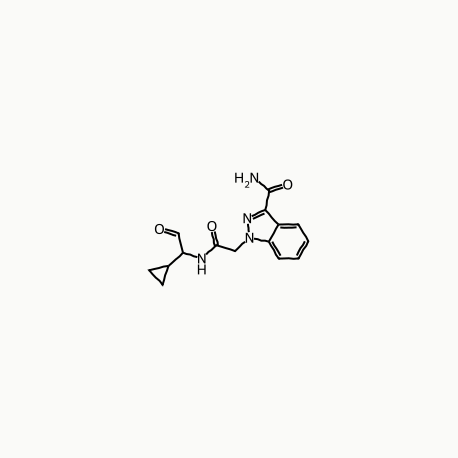 NC(=O)c1nn(CC(=O)NC(C=O)C2CC2)c2ccccc12